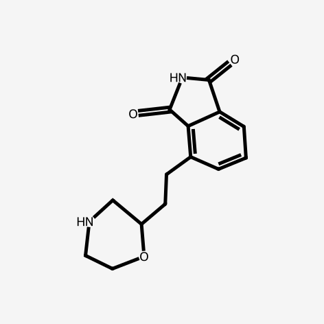 O=C1NC(=O)c2c(CCC3CNCCO3)cccc21